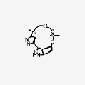 C[C@@H]1CCOCC[C@H](C)C2C=C(N=N2)c2n[nH]c3ccc(cc23)O1